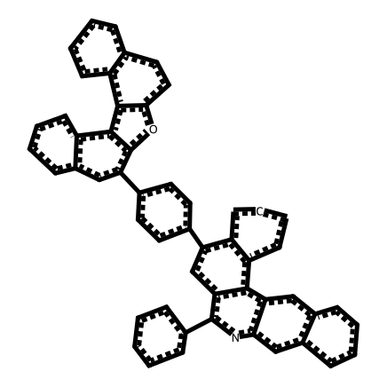 c1ccc(-c2nc3cc4ccccc4cc3c3c2cc(-c2ccc(-c4cc5ccccc5c5c4oc4ccc6ccccc6c45)cc2)c2ccccc23)cc1